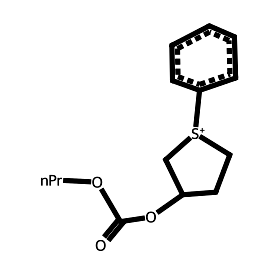 CCCOC(=O)OC1CC[S+](c2ccccc2)C1